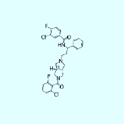 O=C(NC(CCN1CC2CN(C(=O)c3c(F)cccc3Cl)C[C@@H]2C1)c1ccccc1)c1ccc(F)c(Cl)c1